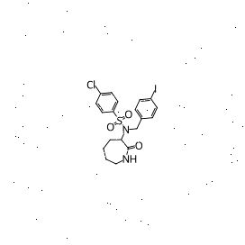 O=C1NCCCCC1N(Cc1ccc(I)cc1)S(=O)(=O)c1ccc(Cl)cc1